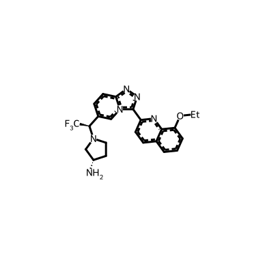 CCOc1cccc2ccc(-c3nnc4ccc([C@@H](N5CC[C@H](N)C5)C(F)(F)F)cn34)nc12